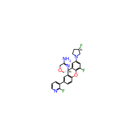 NC1=N[C@]2(COC1)c1cc(-c3cccnc3F)ccc1Oc1c(F)cc(N3CC[C@@H](F)C3)cc12